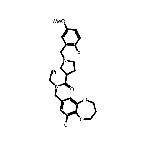 COc1ccc(F)c(CN2CCC(C(=O)N(Cc3cc(Cl)c4c(c3)OCCCO4)CC(C)C)C2)c1